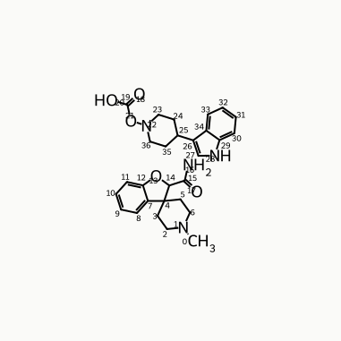 CN1CCC2(CC1)c1ccccc1OC2C(N)=O.O=C(O)ON1CCC(c2c[nH]c3ccccc23)CC1